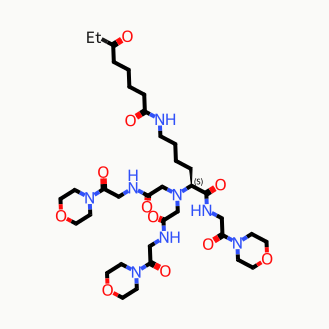 CCC(=O)CCCCC(=O)NCCCC[C@@H](C(=O)NCC(=O)N1CCOCC1)N(CC(=O)NCC(=O)N1CCOCC1)CC(=O)NCC(=O)N1CCOCC1